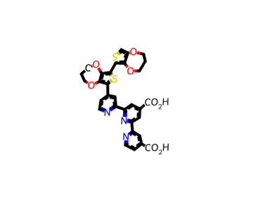 O=C(O)c1ccnc(-c2cc(C(=O)O)cc(-c3cc(-c4sc(-c5scc6c5OCCCO6)c5c4OCCCO5)ccn3)n2)c1